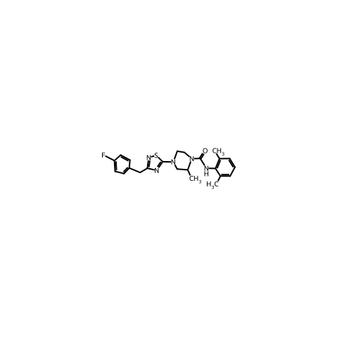 Cc1cccc(C)c1NC(=O)N1CCN(c2nc(Cc3ccc(F)cc3)ns2)CC1C